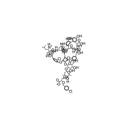 COC(=O)C(CNC1(C)CC(OC2C(Oc3c4cc5cc3Oc3ccc(cc3Cl)[C@@H](O)[C@@H]3NC(=O)C(NC(=O)C5NC(=O)C(CC(N)=O)NC(=O)[C@@H](NC(=O)[C@H](N)CC(C)C)C(O)c5ccc(c(Cl)c5)O4)c4ccc(O)c(c4)-c4c(O)cc(O)cc4C(C(=O)O)NC3=O)OC(CO)C(O)C2O)OC(C)C1O)OCc1ccc(Cl)cc1